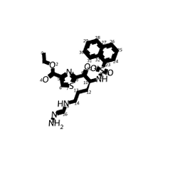 CCOC(=O)c1csc(C(=O)[C@H](CCCNC=NN)NS(=O)(=O)c2cccc3ccccc23)n1